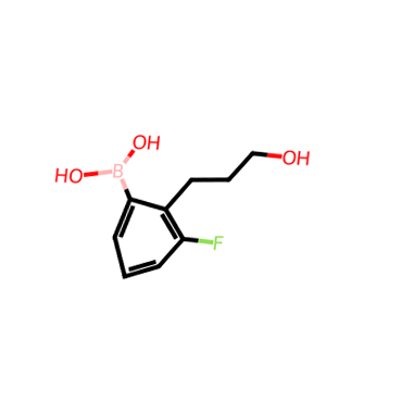 OCCCc1c(F)cccc1B(O)O